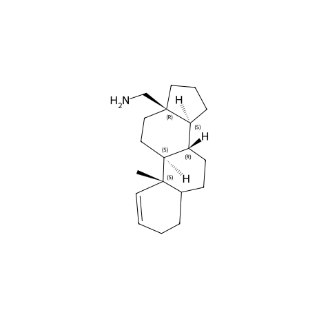 C[C@]12C=CCCC1CC[C@H]1[C@@H]3CCC[C@@]3(CN)CC[C@@H]12